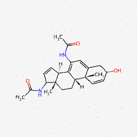 CC(=O)NC1=C2[C@@H](CC[C@]3(C)C(NC(C)=O)C=C[C@@H]23)[C@@]2(C)C=CC(O)CC2=C1